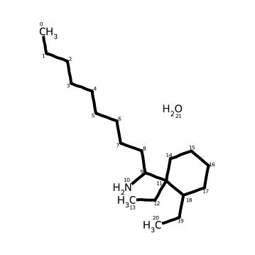 CCCCCCCCCC(N)C1(CC)CCCCC1CC.O